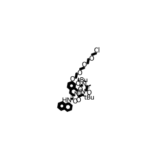 C[C@@H](C(=O)N[C@H](C(=O)N1Cc2cc(OCCOCCOCCOCCCl)ccc2C[C@H]1C(=O)NC1CCCc2ccccc21)C(C)(C)C)N(C)C(=O)OC(C)(C)C